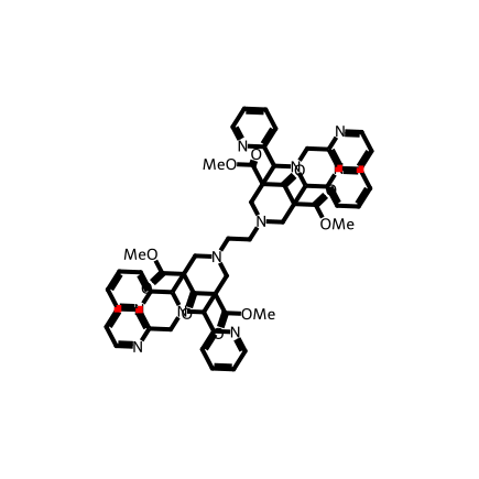 COC(=O)C12CN(CCN3CC4(C(=O)OC)C(=O)C(C(=O)OC)(C3)C(c3ccccn3)N(Cc3ccccn3)C4c3ccccn3)CC(C(=O)OC)(C1=O)C(c1ccccn1)N(Cc1ccccn1)C2c1ccccn1